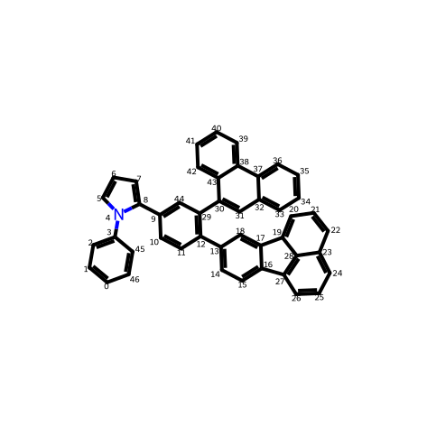 c1ccc(-n2cccc2-c2ccc(-c3ccc4c(c3)-c3cccc5cccc-4c35)c(-c3cc4ccccc4c4ccccc34)c2)cc1